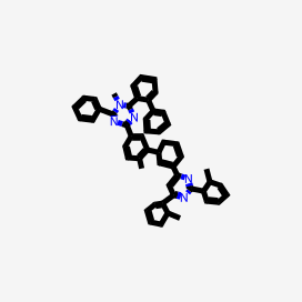 Cc1ccc(C2=NC(c3ccccc3-c3ccccc3)N(C)C(c3ccccc3)=N2)cc1C1C=C(c2cc(C3=CC=CCC3C)nc(C3C=CC=CC3C)n2)C=CC1